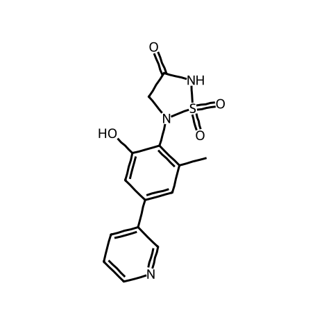 Cc1cc(-c2cccnc2)cc(O)c1N1CC(=O)NS1(=O)=O